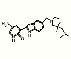 CCN(Cc1ccc2[nH]c(-c3cc(N)c[nH]c3=O)cc2c1)CC(C)(C)CN(C)C